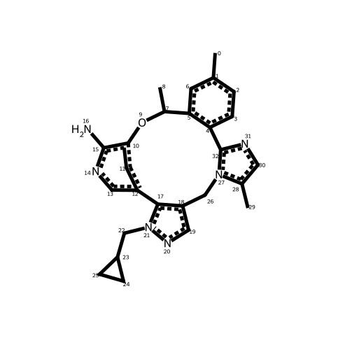 Cc1ccc2c(c1)C(C)Oc1cc(cnc1N)-c1c(cnn1CC1CC1)Cn1c(C)cnc1-2